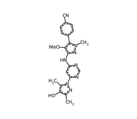 COc1c(Nc2cc(-n3nc(C)c(O)c3C)ncn2)nn(C)c1-c1ccc(C#N)cc1